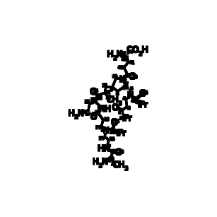 CC(C)C(=O)CCN(C[C@@H]1CC(CC(C)C(=O)[C@H](CCN)NC(=O)CCN(CCNC(=O)[C@H](C)N)C(=O)C(C)C)CN1C(=O)CC[C@H](N)C(=O)O)C(=O)C(C)C